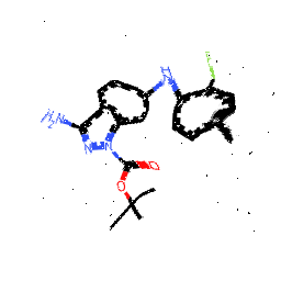 Cc1ccc(Nc2ccc3c(N)nn(C(=O)OC(C)(C)C)c3c2)c(F)c1